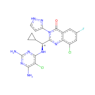 Nc1nc(N)c(Cl)c(N[C@H](c2nc3c(Cl)cc(F)cc3c(=O)n2-c2cc[nH]n2)C2CC2)n1